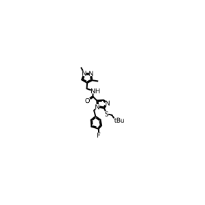 Cc1nn(C)cc1CNC(=O)c1cnc(SCC(C)(C)C)n1Cc1ccc(F)cc1